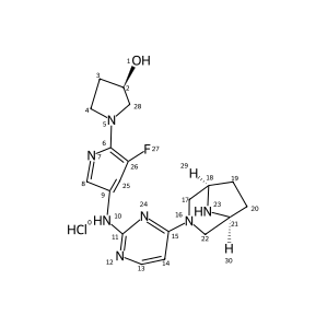 Cl.O[C@@H]1CCN(c2ncc(Nc3nccc(N4C[C@H]5CC[C@@H](C4)N5)n3)cc2F)C1